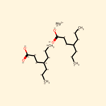 CCCC(CCC)CCC(=O)[O-].CCCC(CCC)CCC(=O)[O-].[Mg+2]